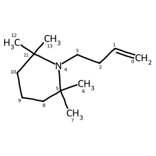 C=CCCN1C(C)(C)CCCC1(C)C